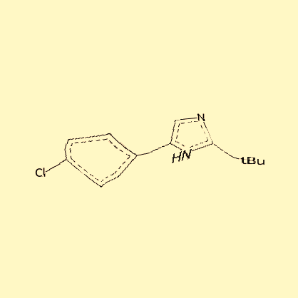 CC(C)(C)c1ncc(-c2ccc(Cl)cc2)[nH]1